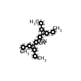 Cc1cccc(-c2ccc3c(c2)c2cc(-c4cccc(C)c4)ccc2n3-c2ccc(-c3ccc(-n4c5ccc(-c6cccc(C)c6)cc5c5cc(-c6cccc(C)c6)ccc54)cc3C#N)c(C#N)c2)c1